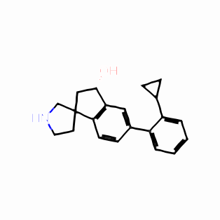 O[C@H]1CC2(CCNC2)c2ccc(-c3ccccc3C3CC3)cc21